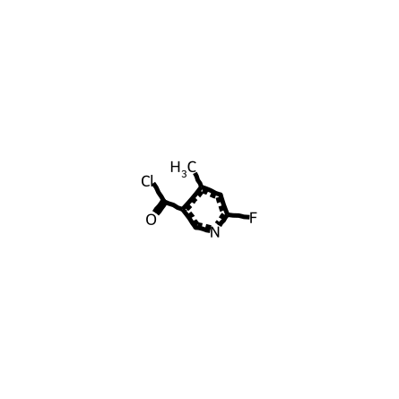 Cc1cc(F)ncc1C(=O)Cl